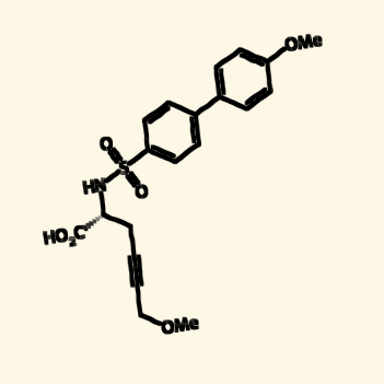 COCC#CC[C@@H](NS(=O)(=O)c1ccc(-c2ccc(OC)cc2)cc1)C(=O)O